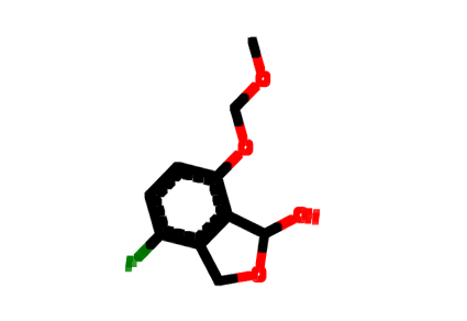 COCOc1ccc(F)c2c1C(O)OC2